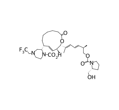 C/C(=C\C=C\[C@@H](C)COC(=O)N1CCC[C@@H]1CO)[C@H]1OC(=O)CCCCC[C@@H](C2CN(CC(F)(F)F)CCN2C(=O)O)/C=C/[C@@H]1C